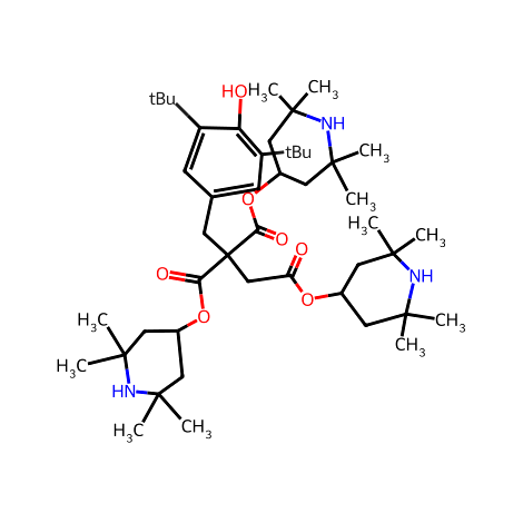 CC1(C)CC(OC(=O)CC(Cc2cc(C(C)(C)C)c(O)c(C(C)(C)C)c2)(C(=O)OC2CC(C)(C)NC(C)(C)C2)C(=O)OC2CC(C)(C)NC(C)(C)C2)CC(C)(C)N1